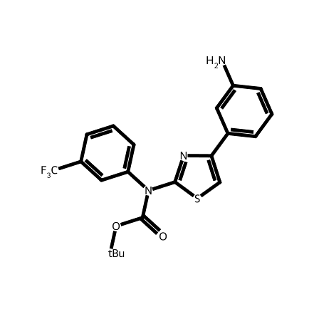 CC(C)(C)OC(=O)N(c1cccc(C(F)(F)F)c1)c1nc(-c2cccc(N)c2)cs1